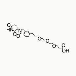 O=C(O)CCOCCOCCOCCCc1ccc2c(c1)CN(C1CCC(=O)NC1=O)C2=O